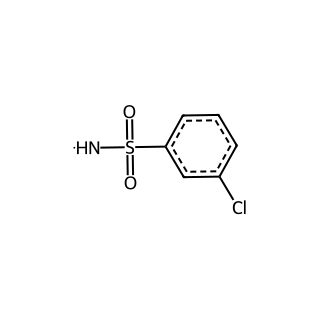 [NH]S(=O)(=O)c1cccc(Cl)c1